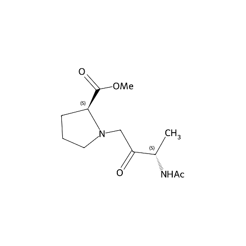 COC(=O)[C@@H]1CCCN1CC(=O)[C@H](C)NC(C)=O